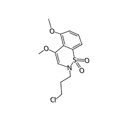 COC1=CN(CCCCl)S(=O)(=O)c2cccc(OC)c21